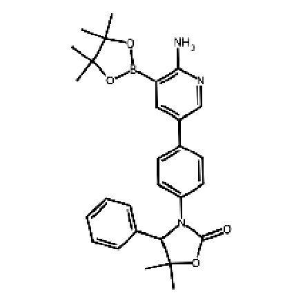 CC1(C)OC(=O)N(c2ccc(-c3cnc(N)c(B4OC(C)(C)C(C)(C)O4)c3)cc2)C1c1ccccc1